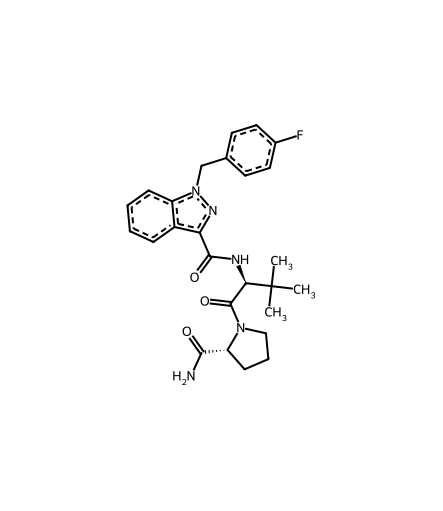 CC(C)(C)[C@H](NC(=O)c1nn(Cc2ccc(F)cc2)c2ccccc12)C(=O)N1CCC[C@@H]1C(N)=O